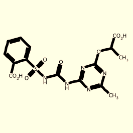 Cc1nc(NC(=O)NS(=O)(=O)c2ccccc2C(=O)O)nc(OC(C)C(=O)O)n1